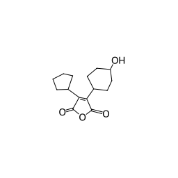 O=C1OC(=O)C(C2CCC(O)CC2)=C1C1CCCC1